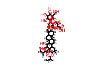 C/C=C(/C)C(=O)O[C@H]1[C@H](OC(=O)/C(C)=C\C)[C@@]2(CO)C(CC1(C)C)C1=CCC3[C@@]4(C)CC[C@H](O[C@@H]5OC(C(=O)O)[C@@H](O)C(OC(C)O[C@@H](CO)C(O)CO)C5O[C@@H]5OC(CO)[C@@H](O)C(O)C5O)[C@](C)(CO)C4CC[C@@]3(C)[C@]1(C)[C@@H](O)[C@H]2O